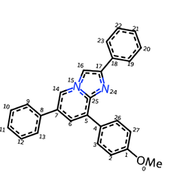 COc1ccc(-c2cc(-c3ccccc3)cn3cc(-c4ccccc4)nc23)cc1